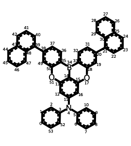 c1ccc(N(c2ccccc2)c2cc3c4c(c2)Oc2cc(-c5cccc6ccccc56)ccc2B4c2ccc(-c4cccc5ccccc45)cc2O3)cc1